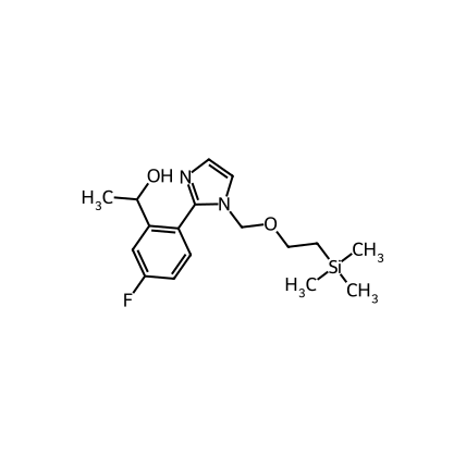 CC(O)c1cc(F)ccc1-c1nccn1COCC[Si](C)(C)C